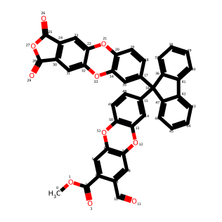 COC(=O)c1cc2c(cc1C=O)Oc1cc(C3(c4ccc5oc6cc7c(=O)oc(=O)c7cc6oc5c4)c4ccccc4-c4ccccc43)ccc1O2